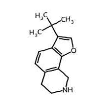 CC(C)(C)c1coc2c3c(ccc12)CCNC3